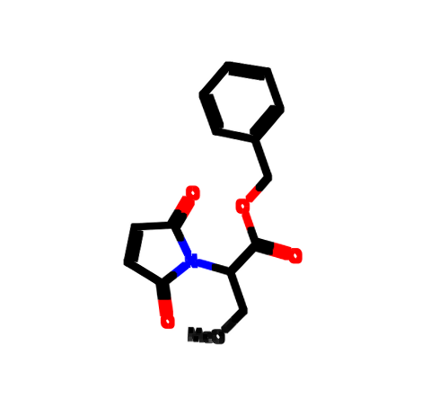 COCC(C(=O)OCc1ccccc1)N1C(=O)C=CC1=O